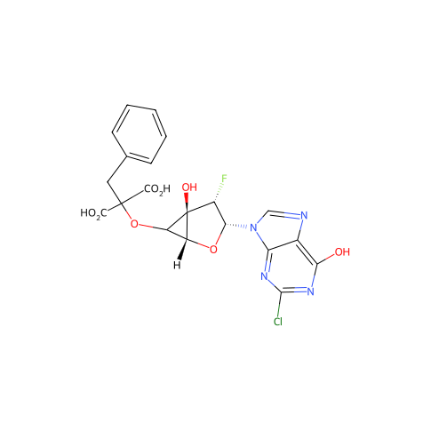 O=C(O)C(Cc1ccccc1)(OC1[C@H]2O[C@@H](n3cnc4c(O)nc(Cl)nc43)[C@@H](F)[C@@]12O)C(=O)O